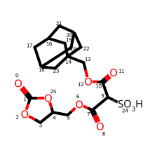 O=C1OCC(COC(=O)C(C(=O)OCC23CC4CC(CC(C4)C2)C3)S(=O)(=O)O)O1